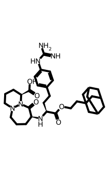 N=C(N)Nc1ccc(CC[C@H](N[C@H]2CCCN3CCC[C@@H](C(=O)O)N3C2=O)C(=O)OCCC23CC4CC(CC(C4)C2)C3)cc1